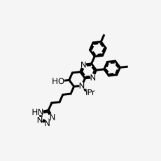 Cc1ccc(-c2nc3c(nc2-c2ccc(C)cc2)N(C(C)C)C(CCCCc2nnn[nH]2)C(O)C3)cc1